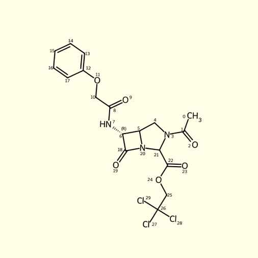 CC(=O)N1CC2[C@@H](NC(=O)COc3ccccc3)C(=O)N2C1C(=O)OCC(Cl)(Cl)Cl